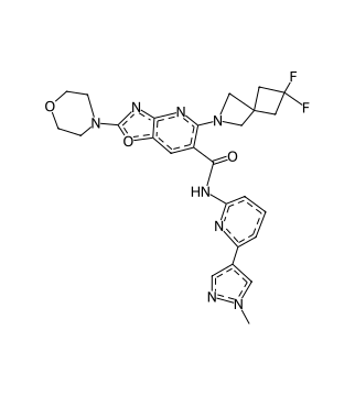 Cn1cc(-c2cccc(NC(=O)c3cc4oc(N5CCOCC5)nc4nc3N3CC4(C3)CC(F)(F)C4)n2)cn1